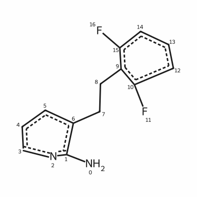 Nc1ncccc1CCc1c(F)cccc1F